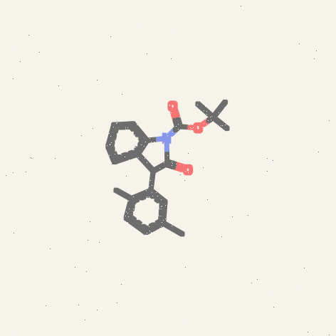 Cc1ccc(C)c(C2C(=O)N(C(=O)OC(C)(C)C)c3ccccc32)c1